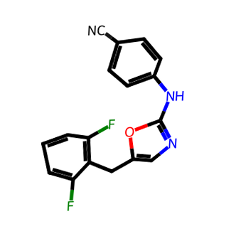 N#Cc1ccc(Nc2ncc(Cc3c(F)cccc3F)o2)cc1